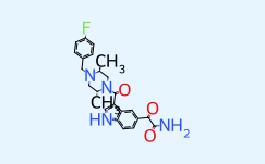 C[C@@H]1CN(Cc2ccc(F)cc2)[C@@H](C)CN1C(=O)c1c[nH]c2ccc(C(=O)C(N)=O)cc12